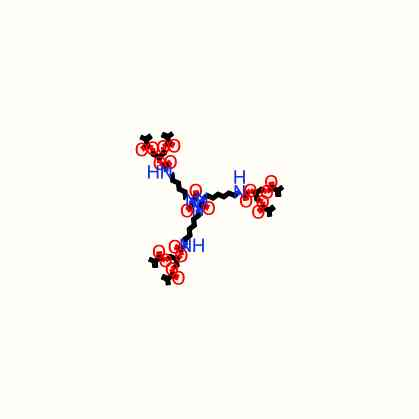 C=C(C)C(=O)OCC(COC(=O)C(=C)C)OC(=O)NCCCCCCn1c(=O)n(CCCCCCNC(=O)OC(COC(=O)C(=C)C)COC(=O)C(=C)C)c(=O)n(CCCCCCNC(=O)OC(COC(=O)C(=C)C)COC(=O)C(=C)C)c1=O